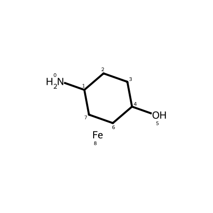 NC1CCC(O)CC1.[Fe]